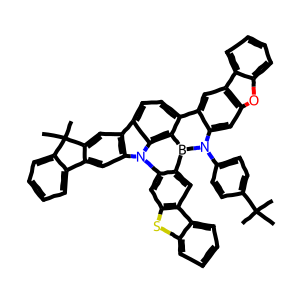 CC(C)(C)c1ccc(N2B3c4cc5c(cc4-n4c6cc7c(cc6c6ccc(c3c64)-c3cc4c(cc32)oc2ccccc24)C(C)(C)c2ccccc2-7)sc2ccccc25)cc1